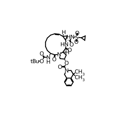 CC(C)(C)OC(=O)N[C@H]1CCCCC/C=C\[C@@H]2C[C@@]2(C(=O)NS(=O)(=O)C2CC2)NC(=O)[C@@H]2C[C@@H](OC(=O)N3Cc4ccccc4C(C)(C)C3)CN2C1=O